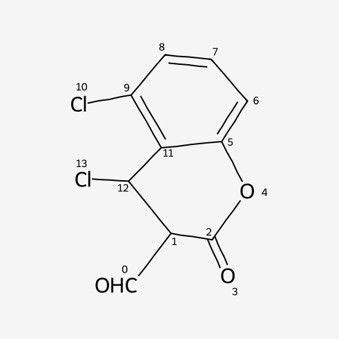 O=CC1C(=O)Oc2cccc(Cl)c2C1Cl